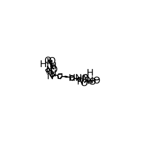 COCON[C@@H](C)C(=O)N1CCC[C@H]1c1ncc(-c2ccc(C#Cc3ccc(-c4cnc([C@@H]5CCCN5C(=O)[C@H](C)NC(=O)OC)[nH]4)cc3)cc2)[nH]1